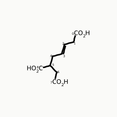 O=C(O)CC=CCC(CC(=O)O)C(=O)O